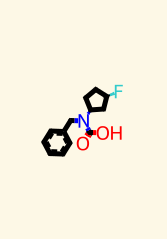 O=C(O)N(Cc1ccccc1)[C@H]1CC[C@@H](F)C1